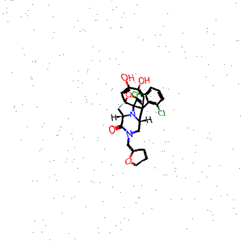 O=C1[C@@H]2C[C@]34/C=C(O)\C(O)=C/C5=C(O3)C4(Cc3c(Cl)cccc3Cl)N2[C@H]5CN1CC1CCCO1